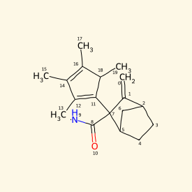 C=C1C2CCC(C2)C1(C([NH])=O)C1=C(C)C(C)=C(C)C1C